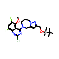 COc1c(F)cc(F)c2nc(Cl)nc(N3CCCn4nc(CO[Si](C)(C)C(C)(C)C)cc4C3)c12